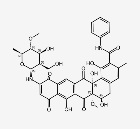 CO[C@@H]1[C@@H](O)[C@@H](CO)[C@@H](NC2=CC(=O)c3c(cc4c(c3O)C(=O)[C@]3(OC)[C@H](O)Cc5cc(C)c(C(=O)Nc6ccccc6)c(O)c5[C@]3(O)C4=O)C2=O)O[C@H]1C